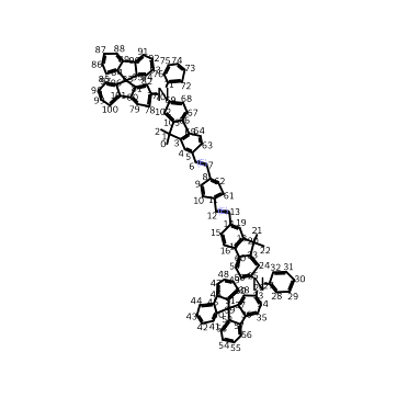 CC1(C)c2cc(/C=C/c3ccc(/C=C/c4ccc5c(c4)C(C)(C)c4cc(N(c6ccccc6)c6ccc7c(c6)C6(c8ccccc8-c8ccccc86)c6ccccc6-7)ccc4-5)cc3)ccc2-c2ccc(N(c3ccccc3)c3ccc4c(c3)C3(c5ccccc5-c5ccccc53)c3ccccc3-4)cc21